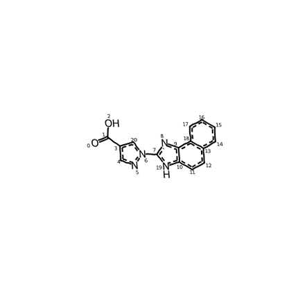 O=C(O)c1cnn(-c2nc3c(ccc4ccccc43)[nH]2)c1